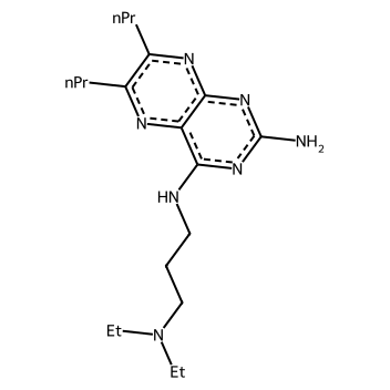 CCCc1nc2nc(N)nc(NCCCN(CC)CC)c2nc1CCC